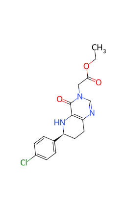 CCOC(=O)Cn1cnc2c(c1=O)N[C@H](c1ccc(Cl)cc1)CC2